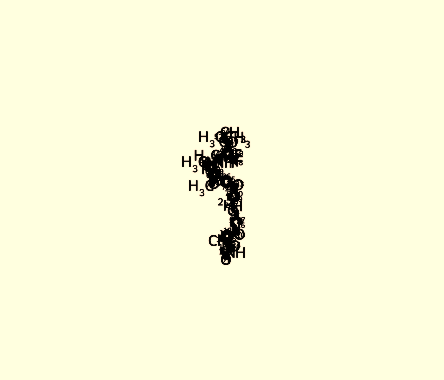 [2H]C([2H])(OCC1CCN(C(=O)c2ccc(Cl)c(N3CCC(=O)NC3=O)c2)CC1)C1CCN(C(=O)C2CCC(c3cc4c(N[C@H](C)c5cc(C(=O)OC(C)(C)C)cc(C(F)(F)F)c5)nc(C)nc4cc3OC)CC2)CC1